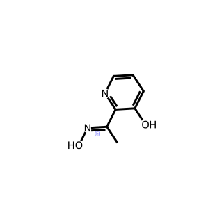 C/C(=N\O)c1ncccc1O